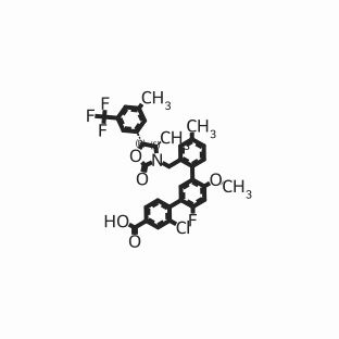 COc1cc(F)c(-c2ccc(C(=O)O)cc2Cl)cc1-c1ccc(C)cc1CN1C(=O)O[C@H](c2cc(C)cc(C(F)(F)F)c2)[C@@H]1C